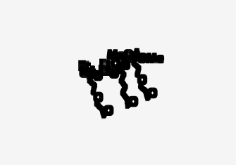 CCO[Si](C)(CCCOCC1CO1)OCC.CCO[Si](CCCCC1CO1)(OCC)OCC.CO[Si](C)(CCCOCC1CO1)OC